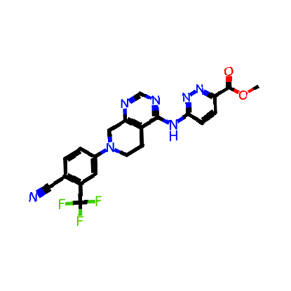 COC(=O)c1ccc(Nc2ncnc3c2CCN(c2ccc(C#N)c(C(F)(F)F)c2)C3)nn1